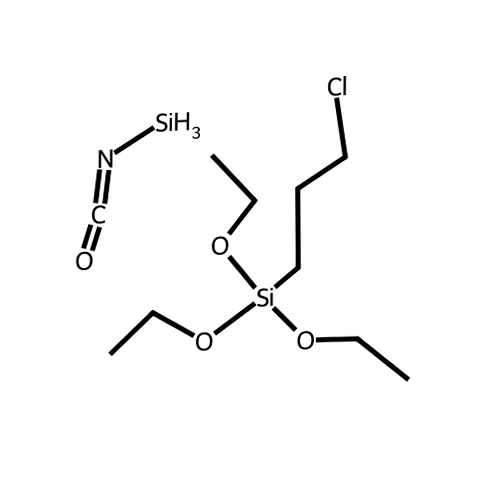 CCO[Si](CCCCl)(OCC)OCC.O=C=N[SiH3]